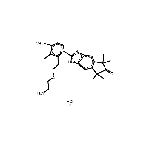 COc1cc[n+](-c2nc3cc4c(cc3[nH]2)C(C)(C)C(=O)C4(C)C)c(CSSCCN)c1C.Cl.[Cl-]